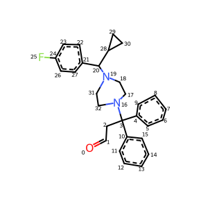 O=CCC(c1ccccc1)(c1ccccc1)N1CCN(C(c2ccc(F)cc2)C2CC2)CC1